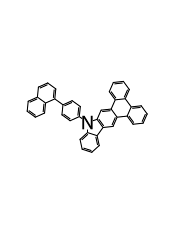 c1ccc2c(-c3ccc(-n4c5ccccc5c5cc6c7ccccc7c7ccccc7c6cc54)cc3)cccc2c1